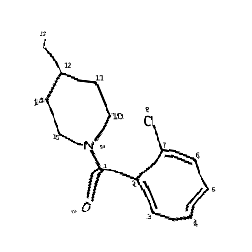 O=C(c1ccccc1Cl)N1CCC(I)CC1